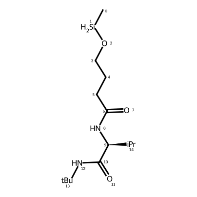 C[SiH2]OCCCC(=O)N[C@H](C(=O)NC(C)(C)C)C(C)C